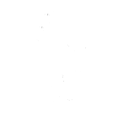 CCNC(=O)Nc1cc(-c2nc(C(F)(F)F)cs2)c(-c2ccc3c(=O)c(C(=O)NCCO)cn(CC(C)C)c3c2)cn1